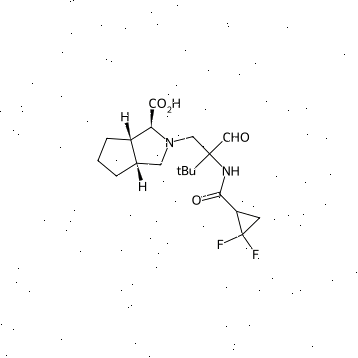 CC(C)(C)C(C=O)(CN1C[C@@H]2CCC[C@@H]2[C@H]1C(=O)O)NC(=O)C1CC1(F)F